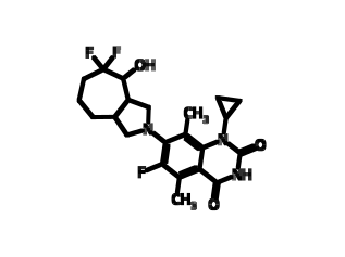 Cc1c(F)c(N2CC3CCCC(F)(F)C(O)C3C2)c(C)c2c1c(=O)[nH]c(=O)n2C1CC1